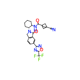 N#CC12CC(C(=O)N[C@@H]3CCCC[C@H]3N3Cc4ccc(-c5noc(C(F)(F)F)n5)cc4C3=O)(C1)C2